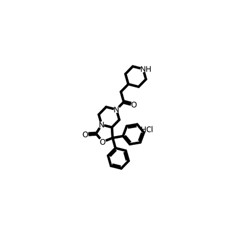 Cl.O=C(CC1CCNCC1)N1CCN2C(=O)OC(c3ccccc3)(c3ccccc3)C2C1